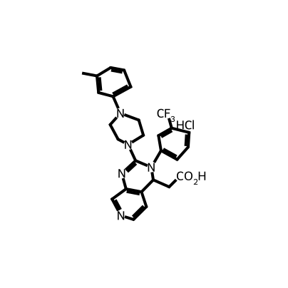 Cc1cccc(N2CCN(C3=Nc4cnccc4C(CC(=O)O)N3c3cccc(C(F)(F)F)c3)CC2)c1.Cl